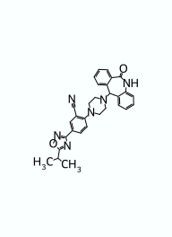 CC(C)c1nc(-c2ccc(N3CCN(C4c5ccccc5NC(=O)c5ccccc54)CC3)c(C#N)c2)no1